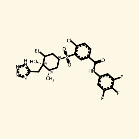 CCC1C[C@@H](S(=O)(=O)c2cc(C(=O)Nc3cc(F)c(F)c(F)c3)ccc2Cl)C[C@H](C)[C@@]1(O)Cc1nnn[nH]1